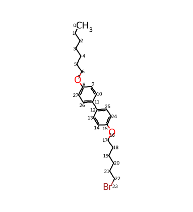 CCCCCCCOc1ccc(-c2ccc(OCCCCCCBr)cc2)cc1